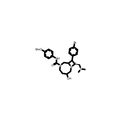 COc1ccc(NC(=O)N2CCC(O)CN3C(C2)C(c2ccc(Br)cc2)[C@H]3CN(C)C)cc1